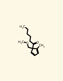 CCCCCC(=O)C1(COC)C=CC=C1C